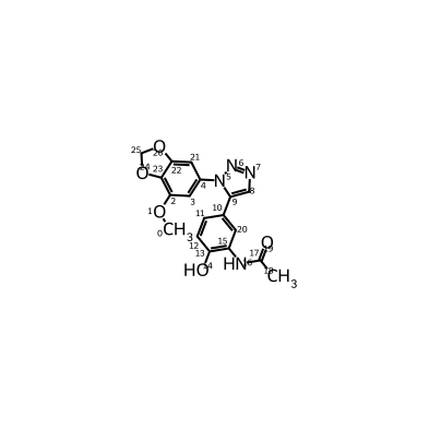 COc1cc(-n2nncc2-c2ccc(O)c(NC(C)=O)c2)cc2c1OCO2